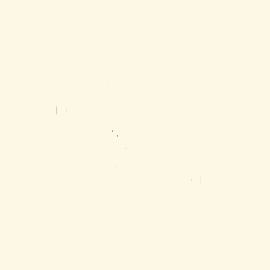 CCc1ccc(C(=O)N2CC(O)C(O)C2)s1